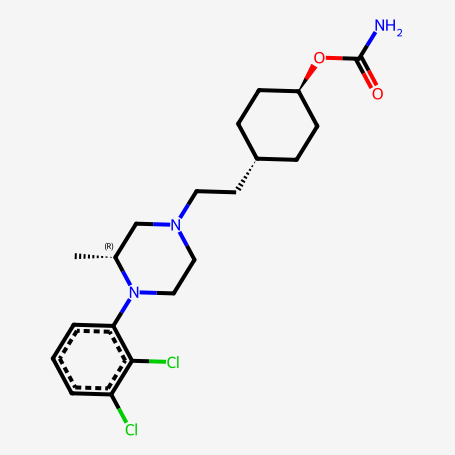 C[C@@H]1CN(CC[C@H]2CC[C@H](OC(N)=O)CC2)CCN1c1cccc(Cl)c1Cl